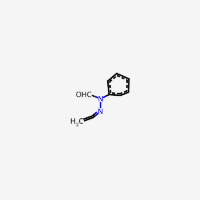 C=C=NN(C=O)c1ccccc1